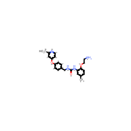 NCCOc1ccc(C(F)(F)F)cc1NC(=O)NCc1ccc(Oc2ccnc(C(=O)O)c2)cc1